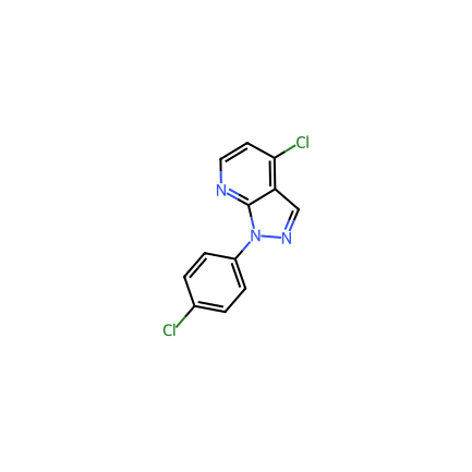 Clc1ccc(-n2ncc3c(Cl)ccnc32)cc1